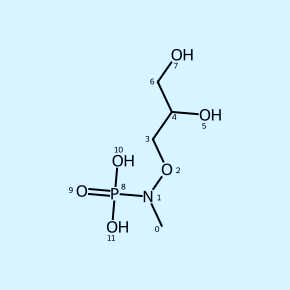 CN(OCC(O)CO)P(=O)(O)O